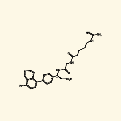 CC(C)c1ccc(-c2ccc([C@H](CC(=O)O)NC(=O)CNC(=O)CCCCNC(=N)N)cc2)c2ccccc12